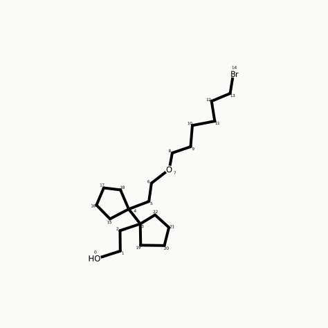 OCCC1(C2(CCOCCCCCCBr)CCCC2)CCCC1